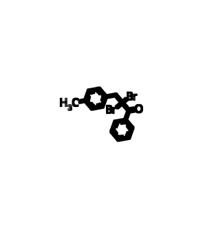 Cc1ccc(CC(Br)(Br)C(=O)c2ccccc2)cc1